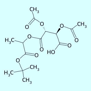 CC(=O)O[C@@H](C(=O)O)[C@@H](OC(C)=O)C(=O)OC(C)C(=O)OC(C)(C)C